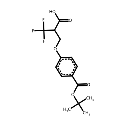 CC(C)(C)OC(=O)c1ccc(OCC(C(=O)O)C(F)(F)F)cc1